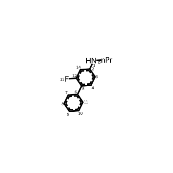 CCCNc1ccc(-c2ccccc2)c(F)c1